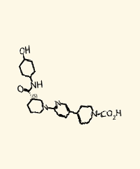 O=C(NC1CCC(O)CC1)[C@H]1CCCN(c2ccc(C3=CCN(C(=O)O)CC3)cn2)C1